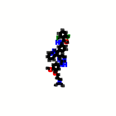 COc1ccc(Nc2nccc(-c3c(-c4cccc(NC(=O)c5c(F)cccc5F)c4)nn4ccccc34)n2)cc1OCCCN(C)C